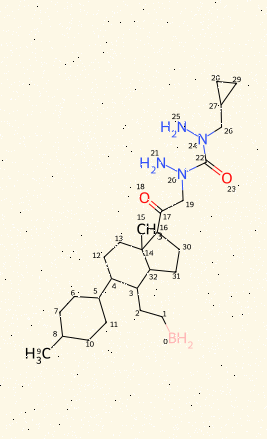 BCCC1C(C2CCC(C)CC2)CCC2(C)C(C(=O)CN(N)C(=O)N(N)CC3CC3)CCC12